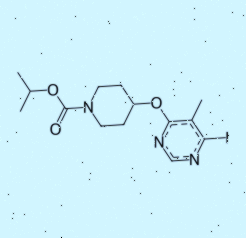 Cc1c(I)ncnc1OC1CCN(C(=O)OC(C)C)CC1